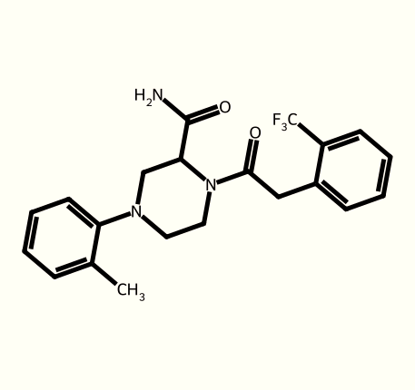 Cc1ccccc1N1CCN(C(=O)Cc2ccccc2C(F)(F)F)C(C(N)=O)C1